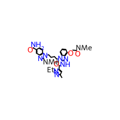 CCn1nc(C)cc1C(=O)Nc1nc2c(OCC(=O)NC)cccc2n1CCCCn1c(NC)nc2cc(C(N)=O)ccc21